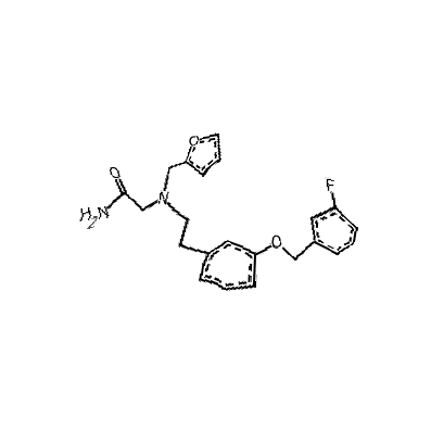 NC(=O)CN(CCc1cccc(OCc2cccc(F)c2)c1)Cc1ccco1